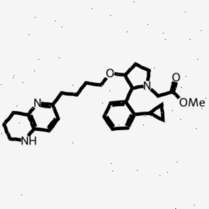 COC(=O)CN1CCC(OCCCCc2ccc3c(n2)CCCN3)C1c1ccccc1C1CC1